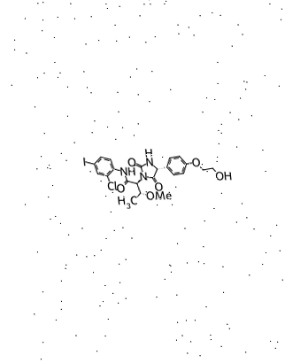 CO[C@H](C)[C@@H](C(=O)Nc1ccc(I)cc1Cl)N1C(=O)N[C@H](c2ccc(OCCO)cc2)C1=O